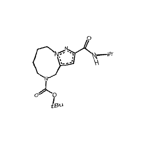 CC(C)NC(=O)c1cc2n(n1)CCCCN(C(=O)OC(C)(C)C)C2